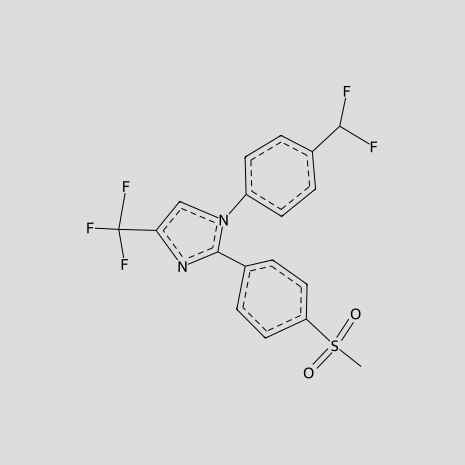 CS(=O)(=O)c1ccc(-c2nc(C(F)(F)F)cn2-c2ccc(C(F)F)cc2)cc1